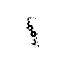 CCCCCCOCCc1ccc(-c2ccc(OCCC(C#N)CC)cc2)nc1